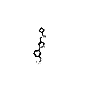 FC(F)(F)Oc1cccc(-n2cc(CNC3CCC3)cn2)c1